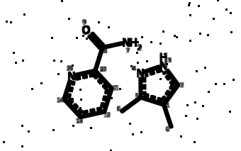 Cc1c[nH]nc1C.NC(=O)c1ccccn1